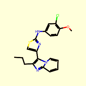 CCCc1nc2ccccn2c1-c1csc(Nc2ccc(OC)c(Cl)c2)n1